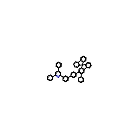 c1ccc(-c2cc(-c3ccccc3)nc(-c3cccc(-c4ccc(-c5cc6c(cc5-c5ccccc5)-c5ccccc5C65c6ccccc6-c6ccccc65)cc4)c3)c2)cc1